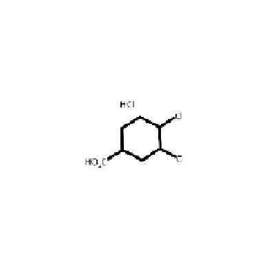 Cl.O=C(O)C1CCC(Cl)C(Cl)C1